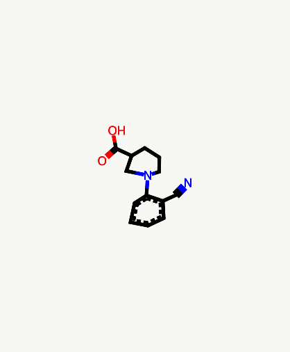 N#Cc1ccccc1N1CCCC(C(=O)O)C1